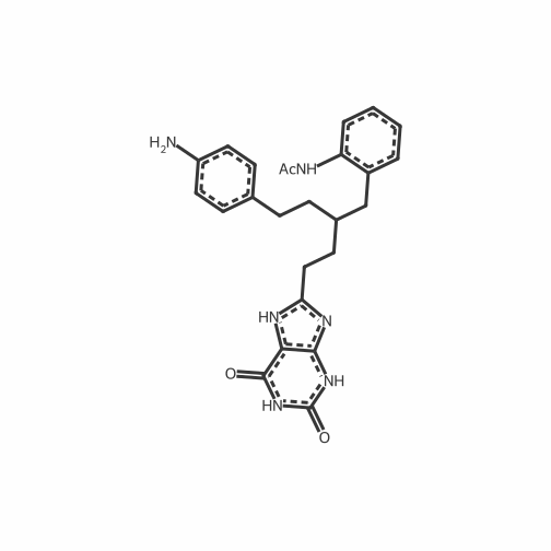 CC(=O)Nc1ccccc1CC(CCc1ccc(N)cc1)CCc1nc2[nH]c(=O)[nH]c(=O)c2[nH]1